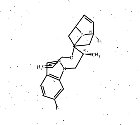 C=CCOC1CC2C=C[C@@H](C1)N2C[C@@H](C)Cn1ncc2ccc(F)cc21